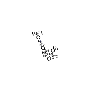 CN(C)c1ccc(/N=N/c2nc3ccc(BBBBc4ccccc4CN(C(=O)CCl)c4ccc5c(c4)OCO5)cc3s2)cc1